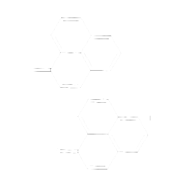 S.S=C1C=Cc2cccc3cccc1c23.S=C1C=Cc2cccc3cccc1c23